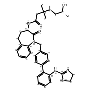 C[C@@H](O)CNC(C)(C)CC(=O)N[C@@H]1CCc2ccccc2N(Cc2ccc(-c3ccccc3NC3=NCCN3)cc2)C1=O